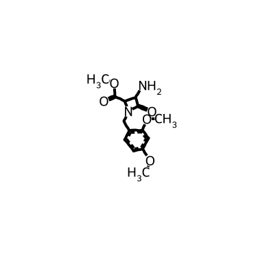 COC(=O)C1C(N)C(=O)N1Cc1ccc(OC)cc1OC